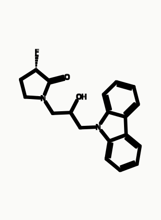 O=C1[C@@H](F)CCN1CC(O)Cn1c2ccccc2c2ccccc21